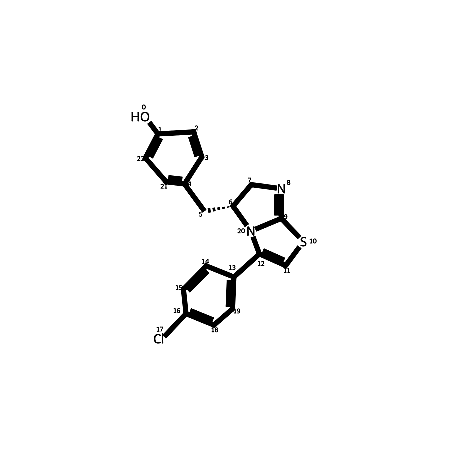 Oc1ccc(C[C@@H]2CN=C3SC=C(c4ccc(Cl)cc4)N32)cc1